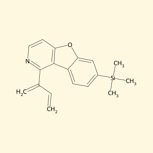 C=CC(=C)c1nccc2oc3cc([Si](C)(C)C)ccc3c12